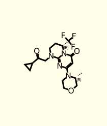 C[C@@H]1COCCN1c1cc(=O)n2c(n1)N(CC(=O)C1CC1)CC[C@@H]2C(F)(F)F